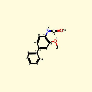 COc1cc(-c2ccccc2)ccc1N=C=O